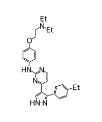 CCc1ccc(-c2n[nH]cc2-c2ccnc(Nc3ccc(OCCN(CC)CC)cc3)n2)cc1